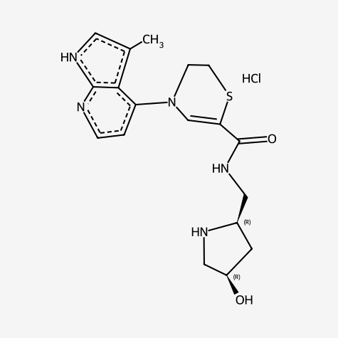 Cc1c[nH]c2nccc(N3C=C(C(=O)NC[C@H]4C[C@@H](O)CN4)SCC3)c12.Cl